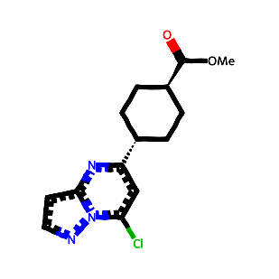 COC(=O)[C@H]1CC[C@H](c2cc(Cl)n3nccc3n2)CC1